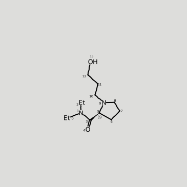 CCN(CC)C(=O)[C@@H]1CCCN1CCCO